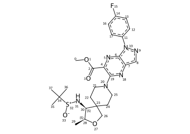 COC(=O)c1nc2c(cnn2-c2ccc(F)cc2)nc1N1CCC2(CC1)CO[C@@H](C)[C@H]2N[S+]([O-])C(C)(C)C